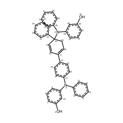 Oc1cccc(N(c2ccccc2)c2ccc(C3=CCC(c4ccccc4)(N(c4ccccc4)c4cccc(O)c4)C=C3)cc2)c1